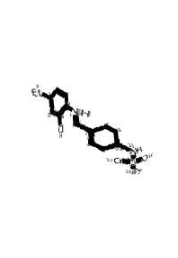 CCc1ccc(NCC2CCC(NS(=O)(=O)C(C)C)CC2)c(Cl)c1